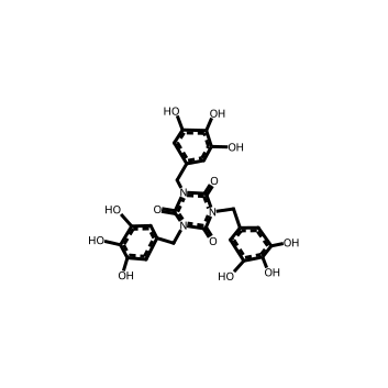 O=c1n(Cc2cc(O)c(O)c(O)c2)c(=O)n(Cc2cc(O)c(O)c(O)c2)c(=O)n1Cc1cc(O)c(O)c(O)c1